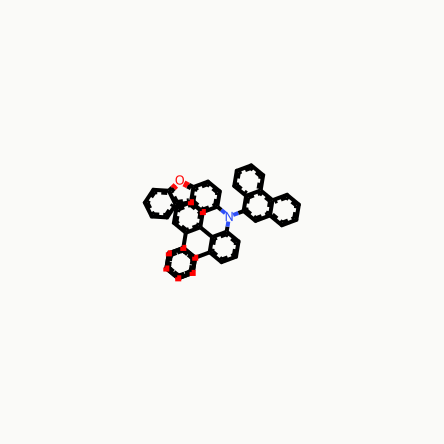 c1ccc(-c2ccccc2-c2c(-c3ccccc3)cccc2N(c2ccc3oc4ccccc4c3c2)c2cc3ccccc3c3ccccc23)cc1